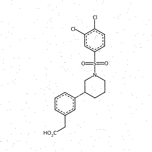 O=C(O)Cc1cccc(C2CCCN(S(=O)(=O)c3ccc(Cl)c(Cl)c3)C2)c1